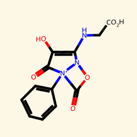 O=C(O)CNC1=C(O)C(=O)[N+]2(c3ccccc3)C(=O)ON12